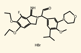 Br.CCOc1cc2c(c(F)c1OCC)C(=N)N(C(C=O)c1cc(C(C)C)c(OC)c(N3CCOCC3)c1)C2